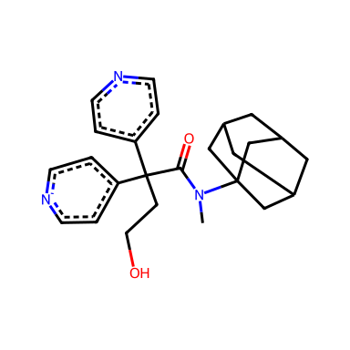 CN(C(=O)C(CCO)(c1ccncc1)c1ccncc1)C12CC3CC(CC(C3)C1)C2